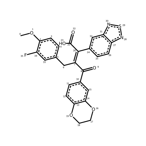 COc1ccc(CC(C(=O)c2ccc3c(c2)OCCO3)=C(C(=O)O)c2ccc3nsnc3c2)cc1F